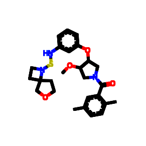 COC1CN(C(=O)c2cc(C)ccc2C)CC1Oc1cccc(NSN2CCC23CCOC3)c1